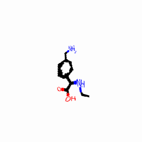 CCNC(C(=O)O)c1ccc(CN)cc1